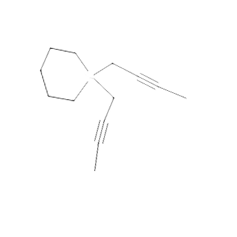 CC#CC[Si]1(CC#CC)CCCCC1